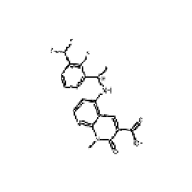 C[C@@H](Nc1ccnc2c1cc(C(=O)O)c(=O)n2C)c1cccc(C(F)F)c1F